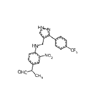 CC(C=O)c1ccc(NCc2c[nH]nc2-c2ccc(C(F)(F)F)cc2)c([N+](=O)[O-])c1